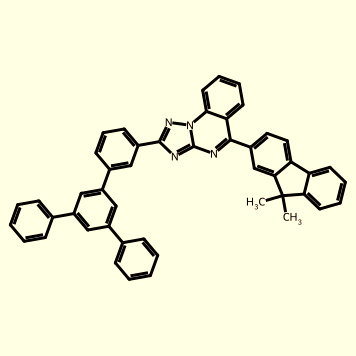 CC1(C)c2ccccc2-c2ccc(-c3nc4nc(-c5cccc(-c6cc(-c7ccccc7)cc(-c7ccccc7)c6)c5)nn4c4ccccc34)cc21